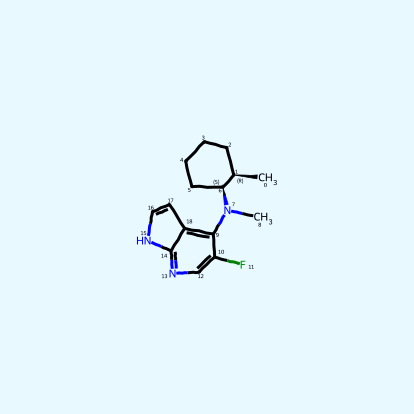 C[C@@H]1CCCC[C@@H]1N(C)c1c(F)cnc2[nH]ccc12